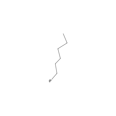 CCCCCC[P]